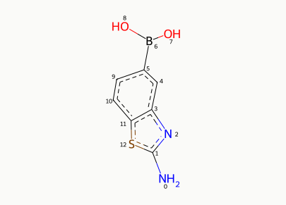 Nc1nc2cc(B(O)O)ccc2s1